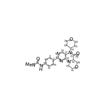 CNC(=O)Nc1ccc(-c2ncc3c(n2)N2CCOC[C@]2(C)C(=O)N3C2CCOCC2)cc1